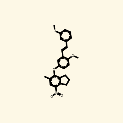 COc1cccc(C=Cc2cc(Oc3c(C)cc([N+](=O)[O-])c4c3CCC4)ccc2OC)c1